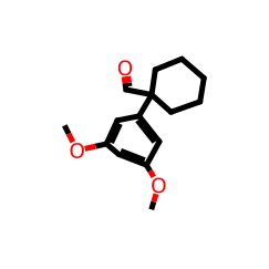 COc1cc(OC)cc(C2(C=O)CCCCC2)c1